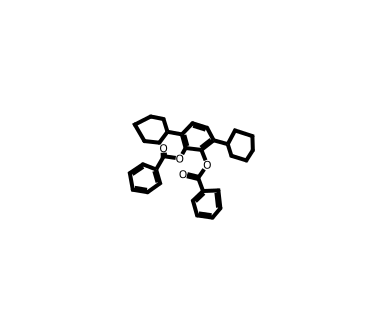 O=C(Oc1c(C2CCCCC2)ccc(C2CCCCC2)c1OC(=O)c1ccccc1)c1ccccc1